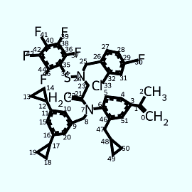 C=C(C)c1ccc(N(Cc2cc(C3CC3)cc(C3CC3)c2)C(=C)CN(Cc2ccc(F)cc2Cl)Sc2c(F)c(F)c(F)c(F)c2F)c(CC2CC2)c1